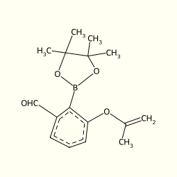 C=C(C)Oc1cccc(C=O)c1B1OC(C)(C)C(C)(C)O1